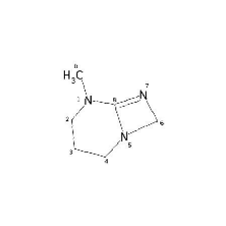 CN1CCCN2CN=C12